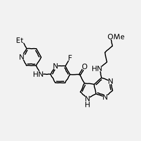 CCc1ccc(Nc2ccc(C(=O)c3c[nH]c4ncnc(NCCCOC)c34)c(F)n2)cn1